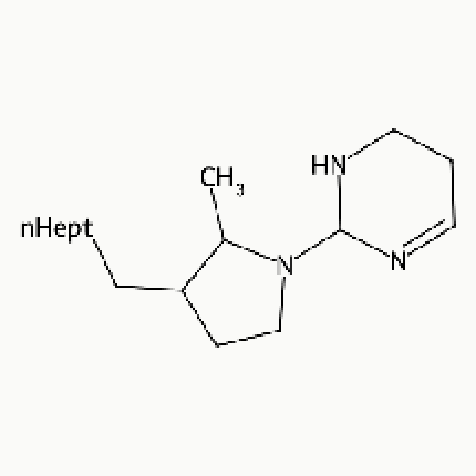 CCCCCCCCC1CCN(C2N=CCCN2)C1C